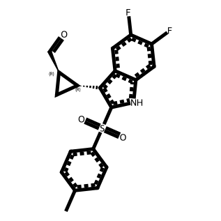 Cc1ccc(S(=O)(=O)c2[nH]c3cc(F)c(F)cc3c2[C@@H]2C[C@H]2C=O)cc1